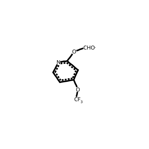 O=[C]Oc1cc(OC(F)(F)F)ccn1